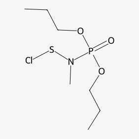 CCCOP(=O)(OCCC)N(C)SCl